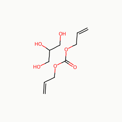 C=CCOC(=O)OCC=C.OCC(O)CO